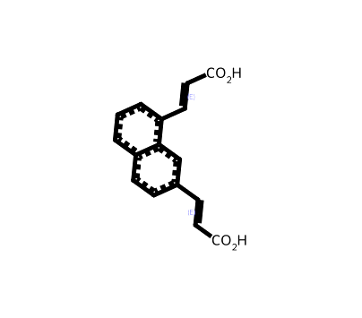 O=C(O)/C=C/c1ccc2cccc(/C=C/C(=O)O)c2c1